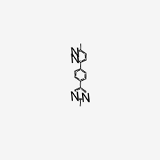 Cc1ccc(-c2ccc(-c3cnc(C)nc3)cc2)nn1